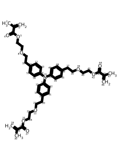 C=C(C)C(=O)OCCOCCc1ccc(N(c2ccc(CCOCCOC(=O)C(=C)C)cc2)c2ccc(CCOCCOC(=O)C(=C)C)cc2)cc1